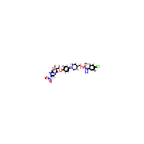 C[C@]1(COc2ccc(N3CCC(COC(=O)Nc4ccc(Cl)cc4)CC3)cc2)Cn2cc([N+](=O)[O-])nc2O1